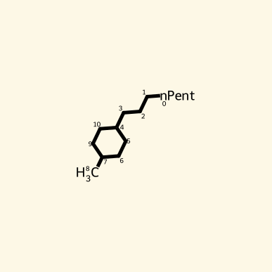 [CH2]CCCCCCCC1CCC(C)CC1